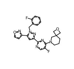 Fc1ccccc1Cn1nc(-c2ncc(F)c(N3CCCC4(COC4)C3)n2)cc1-c1ccon1